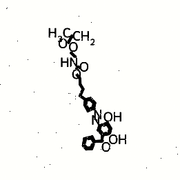 C=C(C)C(=O)OCCNC(=O)OCCCCc1ccc(N=Nc2cc(C(=O)c3ccccc3)c(O)cc2O)cc1